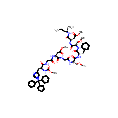 CC(C)(C)OC[C@H](NC(=O)CNC(=O)[C@H](CC(=O)OC(C)(C)C)NC(=O)CNC(=O)[C@H](Cc1cn(C(c2ccccc2)(c2ccccc2)c2ccccc2)cn1)NC(=O)OC(C)(C)C)C(=O)N[C@@H](Cc1ccccc1)C(=O)N[C@@H](COC(C)(C)C)C(=O)N[C@@H](CC(=O)OC(C)(C)C)C(=O)N[C@@H](CCC(=O)O)C(=O)O